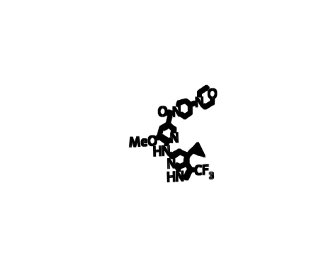 COc1cc(C(=O)N2CCC(N3CCOCC3)CC2)cnc1Nc1cc(C2CC2)c2c(C(F)(F)F)c[nH]c2n1